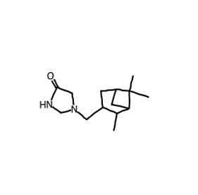 CC1C(CN2CNC(=O)C2)CC2CC1C2(C)C